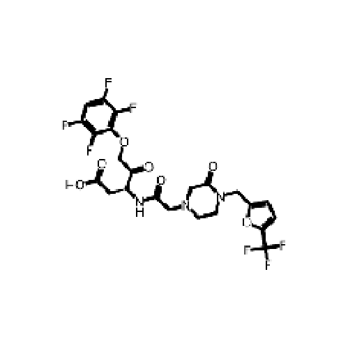 O=C(O)C[C@H](NC(=O)CN1CCN(Cc2ccc(C(F)(F)F)o2)C(=O)C1)C(=O)COc1c(F)c(F)cc(F)c1F